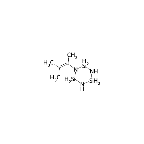 CC(C)=C(C)N1[SiH2]N[SiH2]N[SiH2]1